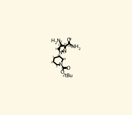 CC(C)(C)OC(=O)N1CCC[C@H](n2cc(N)c(C(N)=O)n2)C1